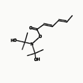 C/C=C/C=C/C(=O)ON(C(C)(C)O)C(C)(C)O